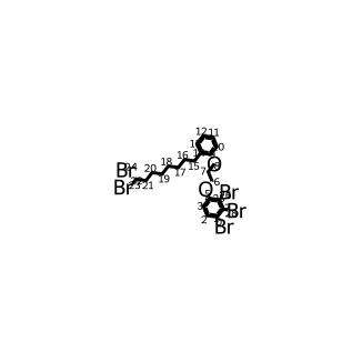 Brc1ccc(OCCOc2ccccc2CCCCCCCC(Br)Br)c(Br)c1Br